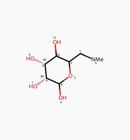 CNCC1OC(O)[C@H](O)[C@H](O)C1O